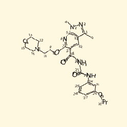 Cc1nn(C)c2nc(OCCN3CCOCC3)c(C(=O)NC(=O)Nc3cccc(OC(C)C)c3)cc12